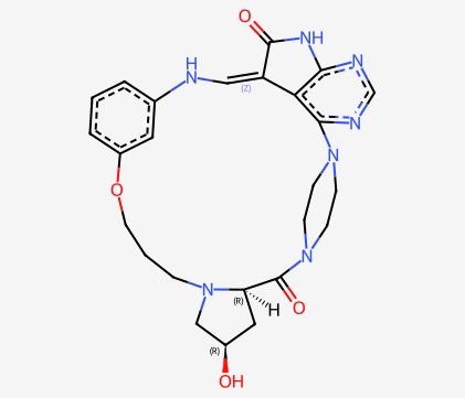 O=C1Nc2ncnc3c2/C1=C/Nc1cccc(c1)OCCCN1C[C@H](O)C[C@@H]1C(=O)N1CCN3CC1